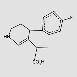 CC(C(=O)O)C1=CNCCC1c1ccc(F)cc1